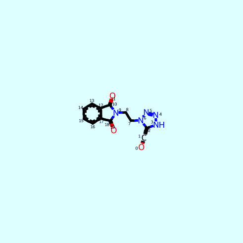 O=C=C1NN=NN1CCN1C(=O)c2ccccc2C1=O